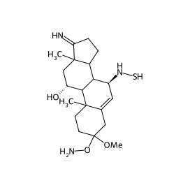 COC1(ON)CCC2(C)C(=C[C@H](NS)C3C4CCC(=N)C4(C)C[C@@H](O)C32)C1